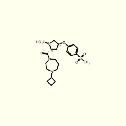 CS(=O)(=O)c1ccc(O[C@H]2C[C@H](C(=O)N3CCCN(C4CCC4)CC3)N(C(=O)O)C2)cc1